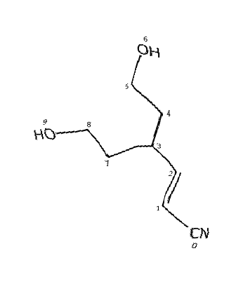 N#CC=CC(CCO)CCO